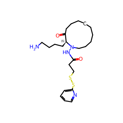 NCCCC[C@H]1C(=O)CCCCCCCCCN1NC(=O)CCSSc1ccccn1